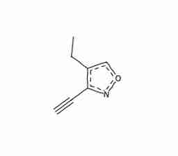 C#Cc1nocc1CC